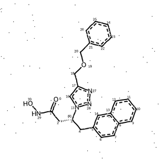 O=C(C[C@@H](Cc1ccc2ccccc2c1)n1cc(COCc2ccccc2)nn1)NO